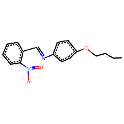 CCCCOc1ccc(N=Cc2ccccc2[N+](=O)[O-])cc1